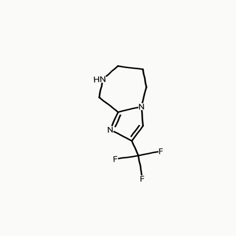 FC(F)(F)c1cn2c(n1)CNCCC2